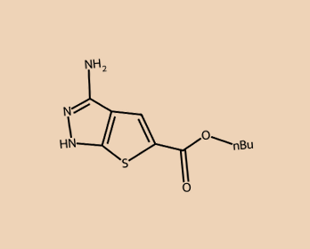 CCCCOC(=O)c1cc2c(N)n[nH]c2s1